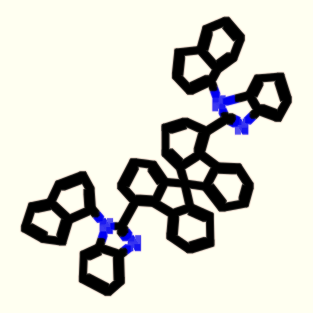 c1ccc2c(c1)-c1c(-c3nc4ccccc4n3-c3cccc4ccccc34)cccc1C21c2ccccc2-c2c(-c3nc4ccccc4n3-c3cccc4ccccc34)cccc21